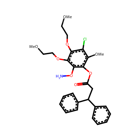 COCCOc1c(Cl)c(OC)c(OC(=O)CC(c2ccccc2)c2ccccc2)c(ON)c1OCCOC